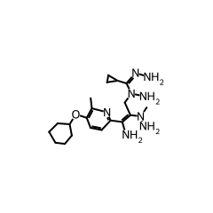 Cc1nc(/C(N)=C(\CN(N)/C(=N\N)C2CC2)N(C)N)ccc1OC1CCCCC1